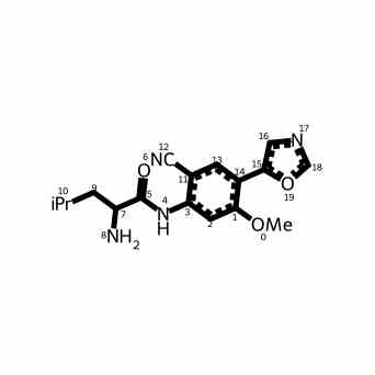 COc1cc(NC(=O)C(N)CC(C)C)c(C#N)cc1-c1cnco1